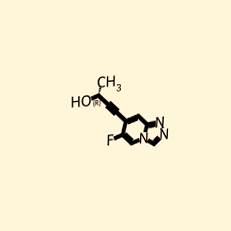 C[C@@H](O)C#Cc1cc2nncn2cc1F